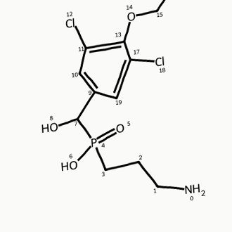 NCCCP(=O)(O)C(O)c1cc(Cl)c(OCC(=O)O)c(Cl)c1